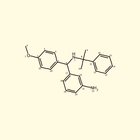 COc1ccc(C(NC(C)(C)c2ccccc2)c2cccc(N)c2)cc1